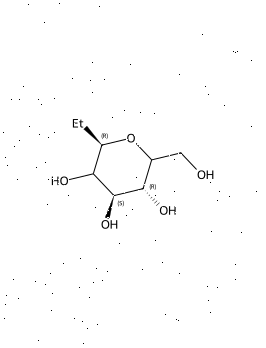 CC[C@H]1OC(CO)[C@H](O)[C@@H](O)C1O